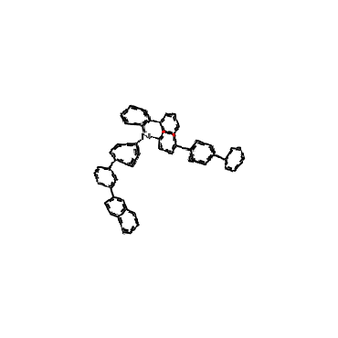 c1ccc(-c2ccc(-c3ccc(N(c4ccc(-c5cccc(-c6ccc7ccccc7c6)c5)cc4)c4ccccc4-c4ccccc4)cc3)cc2)cc1